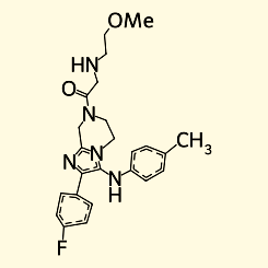 COCCNCC(=O)N1CCn2c(nc(-c3ccc(F)cc3)c2Nc2ccc(C)cc2)C1